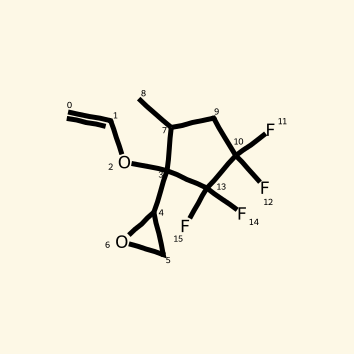 C=COC1(C2CO2)C(C)CC(F)(F)C1(F)F